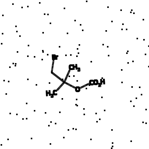 CC(C)(CBr)OC(=O)O